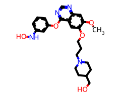 COc1cc2ncnc(Oc3cccc(NO)c3)c2cc1OCCCN1CCC(CO)CC1